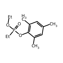 CCOP(=O)(CC)Oc1c(C)cc(C)cc1C